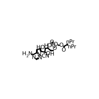 CCCC(CCC)C(=O)OCO[P@]1(=O)OC[C@H]2O[C@@](C#N)(c3ccc4c(N)ncnn34)[C@H](O)[C@@H]2O1